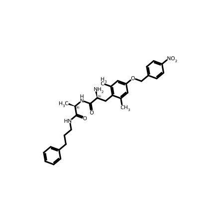 Cc1cc(OCc2ccc([N+](=O)[O-])cc2)cc(C)c1C[C@H](N)C(=O)N[C@H](C)C(=O)NCCCc1ccccc1